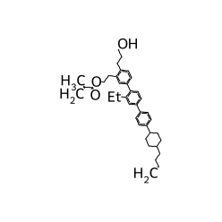 C=CCCC1CCC(c2ccc(-c3ccc(-c4ccc(CCCO)c(CCOC(=O)C(=C)C)c4)c(CC)c3)cc2)CC1